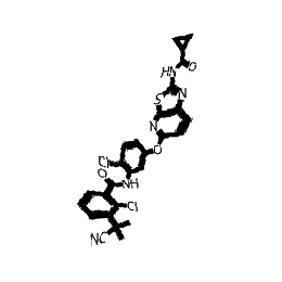 CC(C)(C#N)c1cccc(C(=O)Nc2cc(Oc3ccc4nc(NC(=O)C5CC5)sc4n3)ccc2Cl)c1Cl